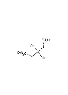 CCOC(=O)CC(CC(=O)OCC)(C(C)=O)C(C)C